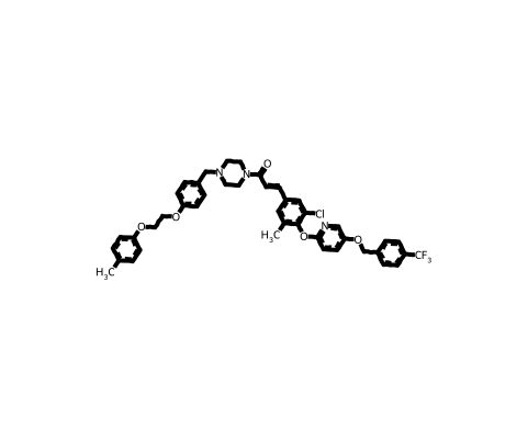 Cc1ccc(OCCOc2ccc(CN3CCN(C(=O)C=Cc4cc(C)c(Oc5ccc(OCc6ccc(C(F)(F)F)cc6)cn5)c(Cl)c4)CC3)cc2)cc1